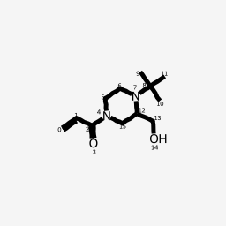 C=CC(=O)N1CCN(C(C)(C)C)C(CO)C1